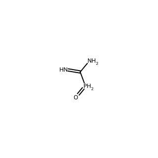 N=C(N)[PH2]=O